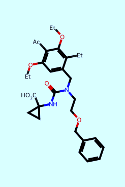 CCOc1cc(CN(CCOCc2ccccc2)C(=O)NC2(C(=O)O)CC2)c(CC)c(OCC)c1C(C)=O